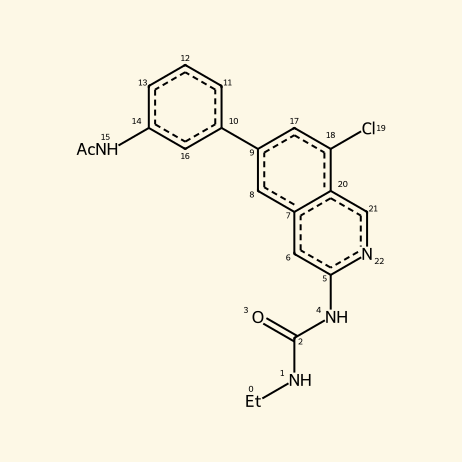 CCNC(=O)Nc1cc2cc(-c3cccc(NC(C)=O)c3)cc(Cl)c2cn1